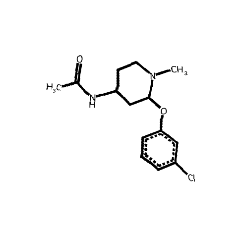 CC(=O)NC1CCN(C)C(Oc2cccc(Cl)c2)C1